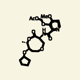 COc1ccnc(C(=O)N[C@H]2COCC[C@@H](OC3CCCC3)[C@H](C)OC2=O)c1OCOC(C)=O